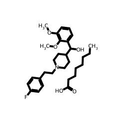 CCCCCCCC(=O)O.COc1cccc(C(O)C2CCN(CCc3ccc(F)cc3)CC2)c1OC